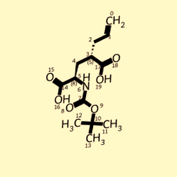 C=CC[C@@H](C[C@@H](NC(=O)OC(C)(C)C)C(=O)O)C(=O)O